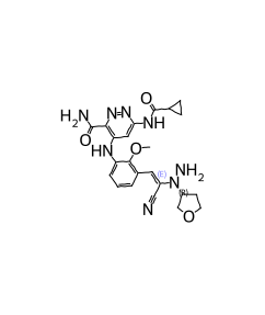 COc1c(/C=C(\C#N)N(N)[C@@H]2CCOC2)cccc1Nc1cc(NC(=O)C2CC2)nnc1C(N)=O